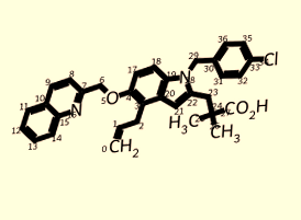 C=CCc1c(OCc2ccc3ccccc3n2)ccc2c1cc(CC(C)(C)C(=O)O)n2Cc1ccc(Cl)cc1